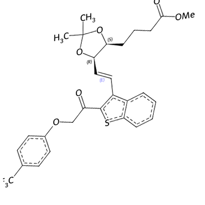 COC(=O)CCC[C@@H]1OC(C)(C)O[C@@H]1/C=C/c1c(C(=O)COc2ccc(C(F)(F)F)cc2)sc2ccccc12